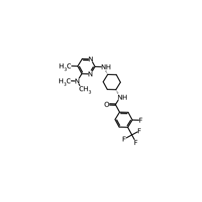 Cc1cnc(N[C@H]2CC[C@@H](NC(=O)c3ccc(C(F)(F)F)c(F)c3)CC2)nc1N(C)C